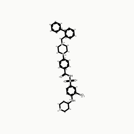 O=C(NS(=O)(=O)c1ccc(NC2CCOCC2)c([N+](=O)[O-])c1)c1ccc(N2CCN(Cc3ccccc3-c3ccccc3)CC2)cc1